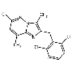 Cc1cc(Cl)nn2c(C)c(Cc3c(Cl)[c]ccc3Cl)nc12